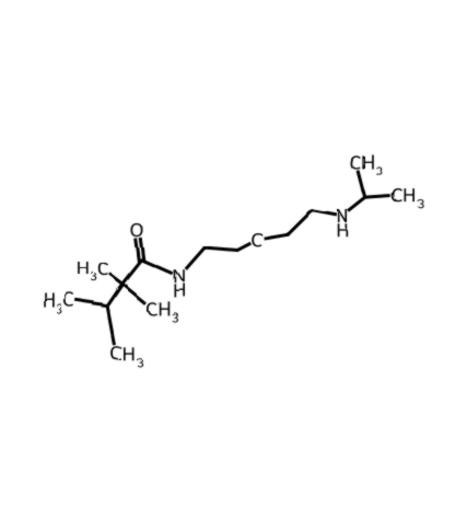 CC(C)NCCCCCNC(=O)C(C)(C)C(C)C